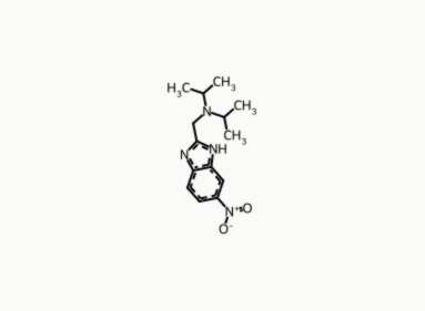 CC(C)N(Cc1nc2ccc([N+](=O)[O-])cc2[nH]1)C(C)C